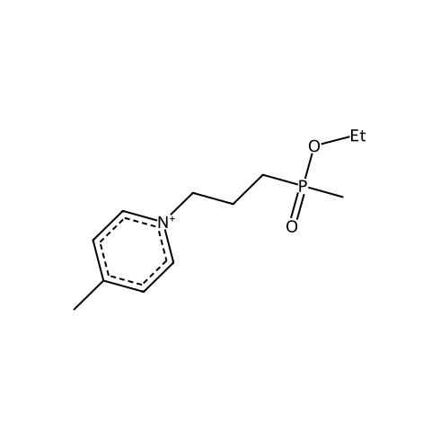 CCOP(C)(=O)CCC[n+]1ccc(C)cc1